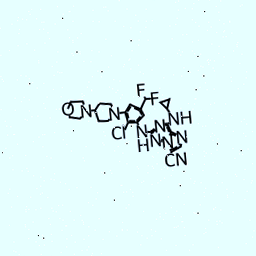 N#Cc1cnc2c(NC3CC3)nc(Nc3cc(C(F)F)cc(N4CCC(N5CCOCC5)CC4)c3Cl)nn12